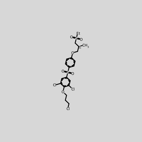 CCS(=O)(=O)C[C@@H](C)COc1ccc(S(=O)(=O)c2cc(Cl)c(OCCCCl)c(Cl)c2)cc1